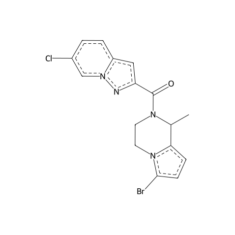 CC1c2ccc(Br)n2CCN1C(=O)c1cc2ccc(Cl)cn2n1